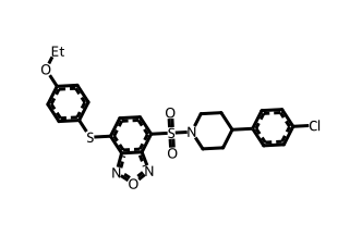 CCOc1ccc(Sc2ccc(S(=O)(=O)N3CCC(c4ccc(Cl)cc4)CC3)c3nonc23)cc1